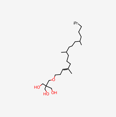 CC(=CCCOCC(CO)(CO)CO)CCCC(C)CCCC(C)CCCC(C)C